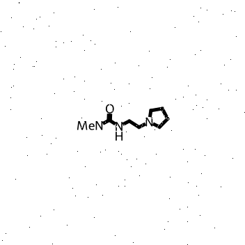 CNC(=O)NCCN1CCCC1